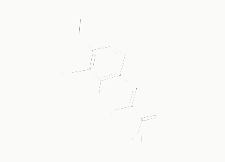 COc1ccc(C=C(S)C(=O)O)c(F)c1Br